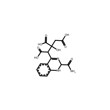 NC(=O)C1N=C(C(C(=O)O)C(O)(CC(=O)O)C(=O)O)c2ccccc2N1